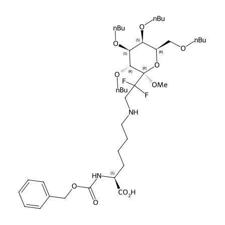 CCCCOC[C@H]1O[C@@](OC)(C(F)(F)CNCCCC[C@H](NC(=O)OCc2ccccc2)C(=O)O)[C@H](OCCCC)[C@@H](OCCCC)[C@H]1OCCCC